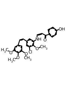 COc1cc(/C=C\c2cc(Cl)c(OC)c(N/C=C\C(=O)c3ccc(O)cc3)c2)cc(OC)c1OC